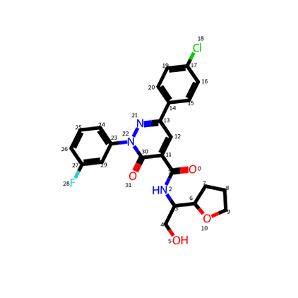 O=C(NC(CO)C1CCCO1)c1cc(-c2ccc(Cl)cc2)nn(-c2cccc(F)c2)c1=O